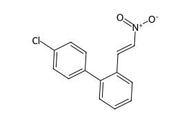 O=[N+]([O-])C=Cc1ccccc1-c1ccc(Cl)cc1